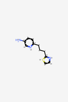 Nc1ccc(CCCc2nccs2)nc1